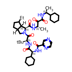 CCC1CC[C@H]2CN(C(=O)[C@@H](NC(=O)[C@@H](NC(=O)c3cnccn3)C3CCCCC3)C(C)(C)C)[C@H](C(=O)N[C@@H](C)C(=O)C(=O)N[C@@H](C)C3CCCCC3)[C@@H]12